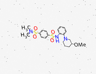 COC1CCCN(c2ccccc2NS(=O)(=O)c2ccc(S(=O)(=O)N(C)C)cc2)C1